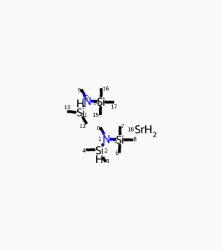 CN([SiH](C)C)[Si](C)(C)C.CN([SiH](C)C)[Si](C)(C)C.[SrH2]